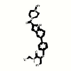 CCCN1CCN(C(=O)c2cc3cc(-c4ccc(SC(CC(C)C)C(=O)NCC#N)cc4)ccc3[nH]2)CC1